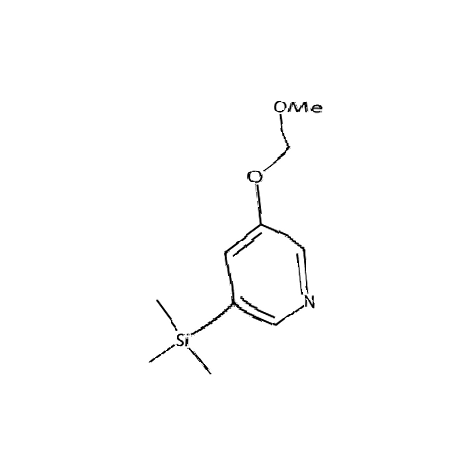 COCOc1cncc([Si](C)(C)C)c1